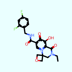 CCN1CC2(COC2)n2cc(C(=O)NCc3ccc(F)cc3F)c(=O)c(O)c2C1=O